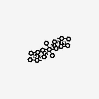 Cc1ccc(-c2ccccc2)cc1N(c1cccc2c1oc1ccccc12)c1cccc2c1c1cccc3c4c(-c5ccccc5)c5c(c(-c6ccccc6)c4n2c13)c1cccc2c3c(N(c4cc(-c6ccccc6)ccc4C)c4cccc6c4oc4ccccc46)cccc3n5c21